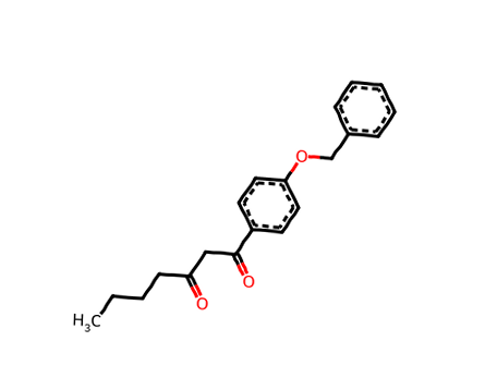 CCCCC(=O)CC(=O)c1ccc(OCc2ccccc2)cc1